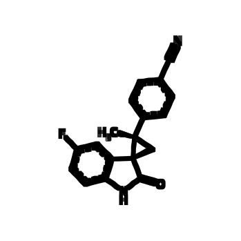 C[C@@]1(c2ccc(C#N)cc2)C[C@]12C(=O)Nc1ccc(F)cc12